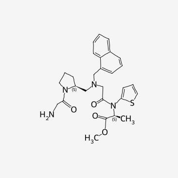 COC(=O)[C@H](C)N(C(=O)CN(Cc1cccc2ccccc12)C[C@@H]1CCCN1C(=O)CN)c1cccs1